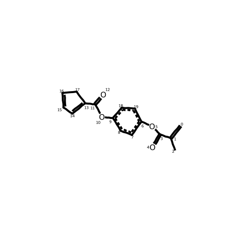 C=C(C)C(=O)Oc1ccc(OC(=O)C2=CC=CC2)cc1